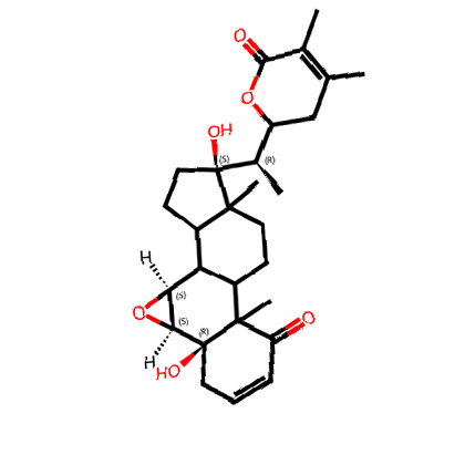 CC1=C(C)C(=O)OC([C@@H](C)[C@@]2(O)CCC3C4C(CCC32C)C2(C)C(=O)C=CC[C@]2(O)[C@H]2O[C@@H]42)C1